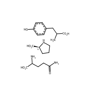 NC(=O)CCC(N)C(=O)O.NC(Cc1ccc(O)cc1)C(=O)O.O=C(O)[C@@H]1CCCN1